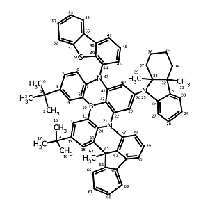 CC(C)(C)c1ccc2c(c1)B1c3cc(C(C)(C)C)cc4c3N(c3cc(N5c6ccccc6C6(C)CCCCC56C)cc(c31)N2c1cccc2c1sc1ccccc12)c1cccc2c1C4(C)c1ccccc1-2